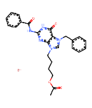 CC(=O)OCCCC[n+]1cn(Cc2ccccc2)c2c(=O)[nH]c(NC(=O)c3ccccc3)nc21.[Br-]